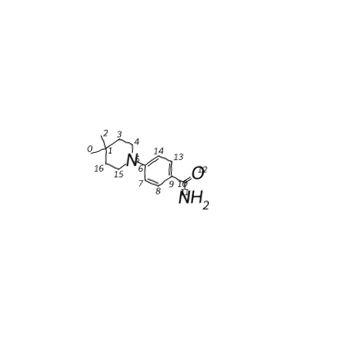 CC1(C)CCN(c2ccc(C(N)=O)cc2)CC1